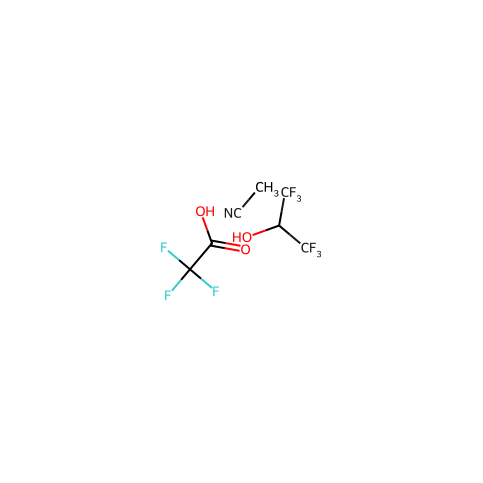 CC#N.O=C(O)C(F)(F)F.OC(C(F)(F)F)C(F)(F)F